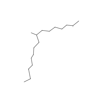 C[CH]CCCCCC(C)CCCCCCCC